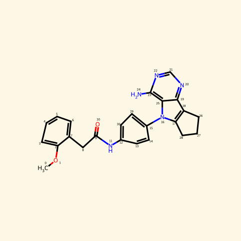 COc1ccccc1CC(=O)Nc1ccc(-n2c3c(c4ncnc(N)c42)CCC3)cc1